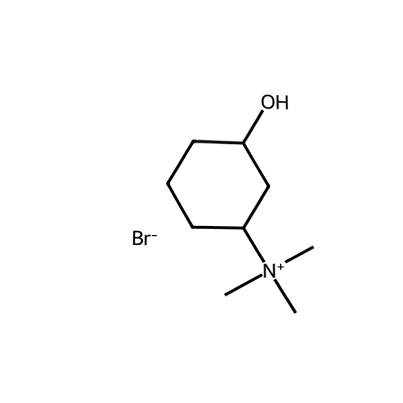 C[N+](C)(C)C1CCCC(O)C1.[Br-]